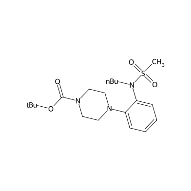 CCCCN(c1ccccc1N1CCN(C(=O)OC(C)(C)C)CC1)S(C)(=O)=O